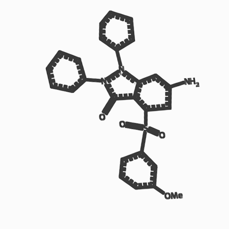 COc1cccc(S(=O)(=O)c2cc(N)cc3c2c(=O)n(-c2ccccc2)n3-c2ccccc2)c1